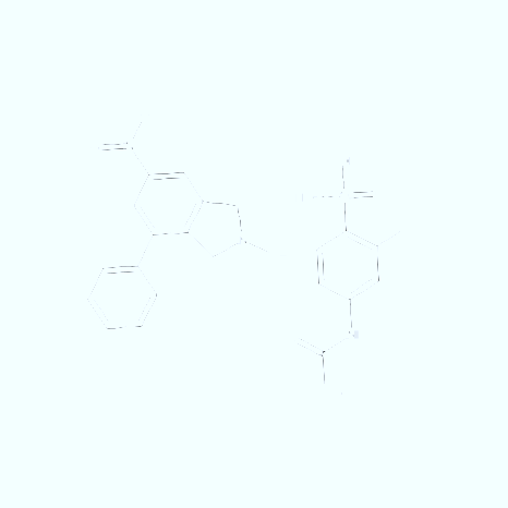 CC(=O)Nc1ccc([As](=O)(O)O)c(O)c1.CN1Cc2cc([N+](=O)[O-])cc(-c3ccccc3)c2C1